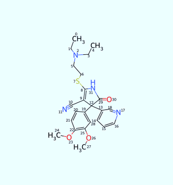 CCN(CC)CCSC1=C(C#N)C(c2cccnc2)(c2ccc(OC)c(OC)c2)C(=O)N1